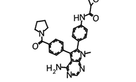 Cn1c(-c2ccc(NC(=O)C3CO3)cc2)c(-c2ccc(C(=O)N3CCCC3)cc2)c2c(N)ncnc21